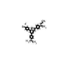 CN(C)c1ccc(-c2cc(/C=C/c3ccc(N(C)CCC#N)cc3)[n+](C)c(-c3ccc(Br)cc3)c2)cc1.[I-]